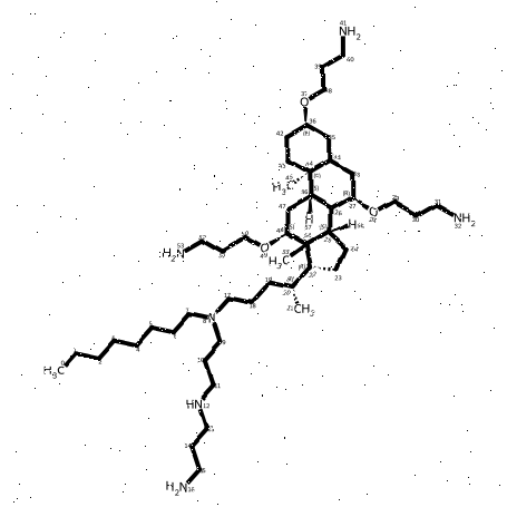 CCCCCCCCN(CCCNCCCN)CCC[C@@H](C)[C@H]1CC[C@H]2C3[C@H](OCCCN)CC4C[C@H](OCCCN)CC[C@]4(C)[C@H]3C[C@H](OCCCN)C12C